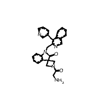 NCC(=O)N1CC2(C1)C(=O)N(Cc1ncc3ccccc3c1-c1cccnc1)c1ccccc12